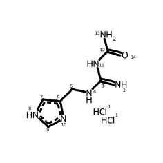 Cl.Cl.N=C(NCc1c[nH]cn1)NC(N)=O